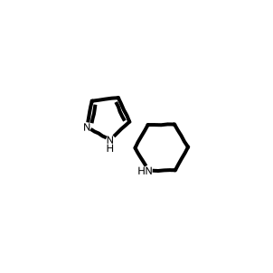 C1CCNCC1.c1cn[nH]c1